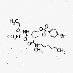 C=CCCCCN(C)C(=O)[C@@H]1C[C@@H](OS(=O)(=O)c2ccc(Br)cc2)C[C@H]1C(=O)N[C@]1(C(=O)OCC)C[C@H]1C=C